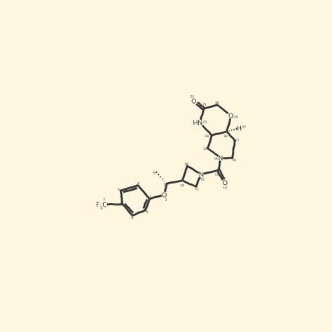 C[C@@H](Oc1ccc(C(F)(F)F)cc1)C1CN(C(=O)N2CC[C@@H]3OCC(=O)NC3C2)C1